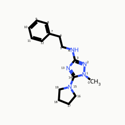 Cn1nc(NCCc2ccccc2)nc1N1CCCC1